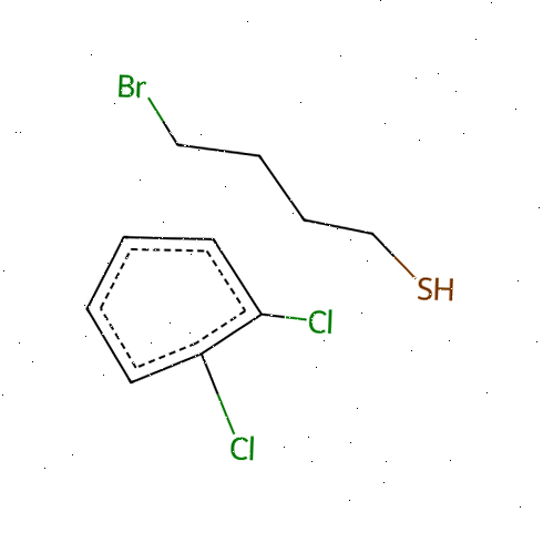 Clc1ccccc1Cl.SCCCCBr